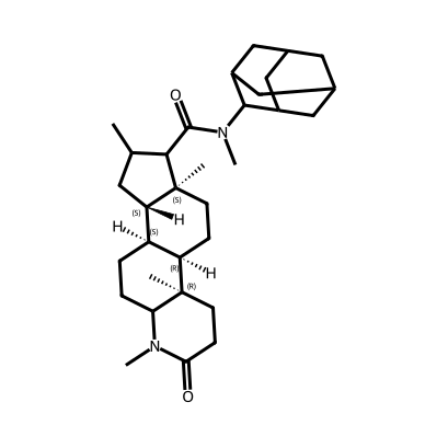 CC1C[C@H]2[C@@H]3CCC4N(C)C(=O)CC[C@]4(C)[C@@H]3CC[C@]2(C)C1C(=O)N(C)C1C2CC3CC(C2)CC1C3